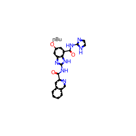 CCCCOc1cc(C(=O)Nc2ncc[nH]2)c2[nH]c(NC(=O)c3cc4ccccc4cn3)nc2c1